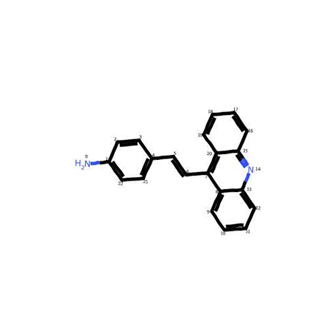 Nc1ccc(/C=C/c2c3ccccc3nc3ccccc23)cc1